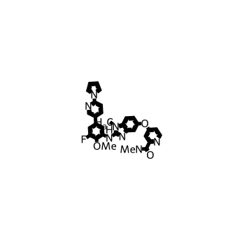 CNC(=O)c1cc(Oc2ccc3c(c2)nc(Nc2cc(-c4ccc(-n5cccc5)nc4)cc(F)c2OC)n3C)ccn1